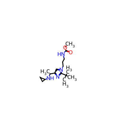 COC(=O)NCCCn1cc(C(C)NC2CC2)nc1C(C)(C)C